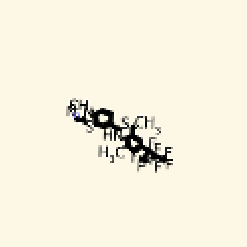 CCc1cc(C(F)(C(F)(F)F)C(F)(F)C(F)(F)F)cc(C)c1NC(=S)c1ccc2nc(/C=N\C)sc2c1